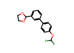 FC(F)Oc1ccc(-c2cccc(C3OCCO3)c2)cc1